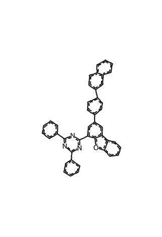 c1ccc(-c2nc(-c3ccccc3)nc(-c3cc(-c4ccc(-c5ccc6ccccc6c5)cc4)cc4c3oc3ccccc34)n2)cc1